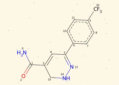 NC(=O)C1=CC(c2ccc(C(F)(F)F)cc2)=NNC1